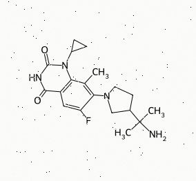 Cc1c(N2CCC(C(C)(C)N)C2)c(F)cc2c(=O)[nH]c(=O)n(C3CC3)c12